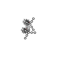 [2H]c1c([2H])c([2H])c(N(c2cc(-c3ccc(-c4ccccc4)cc3)cc(-c3ccc(-c4ccccc4)cc3)c2F)c2ccc3ccc4c(N(c5cc(-c6ccc(-c7ccccc7)cc6)cc(-c6ccc(-c7ccccc7)cc6)c5F)c5c([2H])c([2H])c([2H])c([2H])c5[2H])ccc5ccc2c3c54)c([2H])c1[2H]